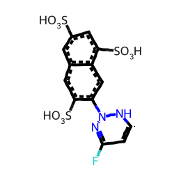 O=S(=O)(O)c1cc(S(=O)(=O)O)c2cc(N3N=C(F)C=[C]N3)c(S(=O)(=O)O)cc2c1